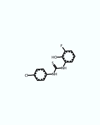 Oc1c(F)cccc1NC(=S)Nc1ccc(Cl)cc1